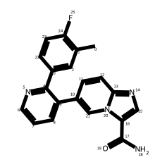 Cc1cc(-c2ncccc2-c2ccc3ncc(C(N)=O)n3c2)ccc1F